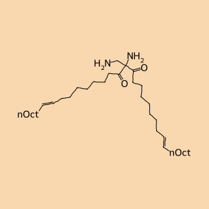 CCCCCCCCC=CCCCCCCCC(=O)C(N)(CN)C(=O)CCCCCCCC=CCCCCCCCC